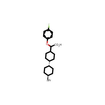 CCC[C@H]1CC[C@H](C2CCC(C(Oc3ccc(F)cc3)C(=O)O)CC2)CC1